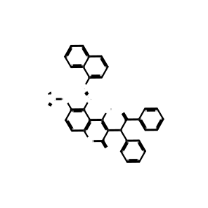 O=C(c1ccccc1)C(c1ccccc1)c1c(O)c2c(/N=N/c3cccc4ccccc34)c(O[SH](=O)=O)ccc2oc1=O